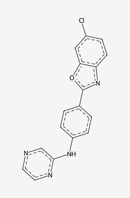 Clc1ccc2nc(-c3ccc(Nc4cnccn4)cc3)oc2c1